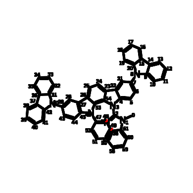 Cn1c(-n2c3ccc(-n4c5ccccc5c5ccccc54)cc3c3ccc4c5cc(-n6c7ccccc7c7ccccc76)ccc5n(-c5ccccc5)c4c32)nc2ccccc21